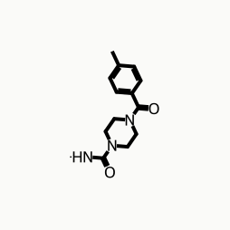 Cc1ccc(C(=O)N2CCN(C([NH])=O)CC2)cc1